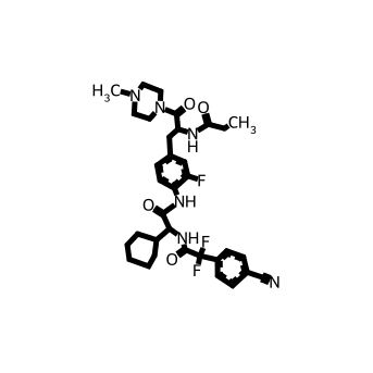 CCC(=O)NC(Cc1ccc(NC(=O)C(NC(=O)C(F)(F)c2ccc(C#N)cc2)C2CCCCC2)c(F)c1)C(=O)N1CCN(C)CC1